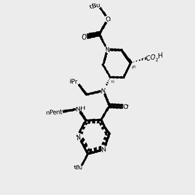 CCCCCNc1nc(C(C)(C)C)ncc1C(=O)N(CC(C)C)[C@H]1C[C@@H](C(=O)O)CN(C(=O)OC(C)(C)C)C1